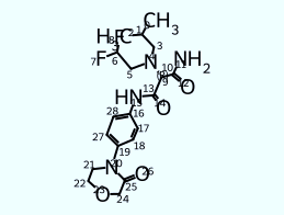 CC(C)CN(CC(F)F)[C@H](C(N)=O)C(=O)Nc1ccc(N2CCOCC2=O)cc1